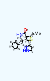 CSc1sc(-c2cc[nH]n2)c2c1C(=O)NCC2Cc1ccccc1